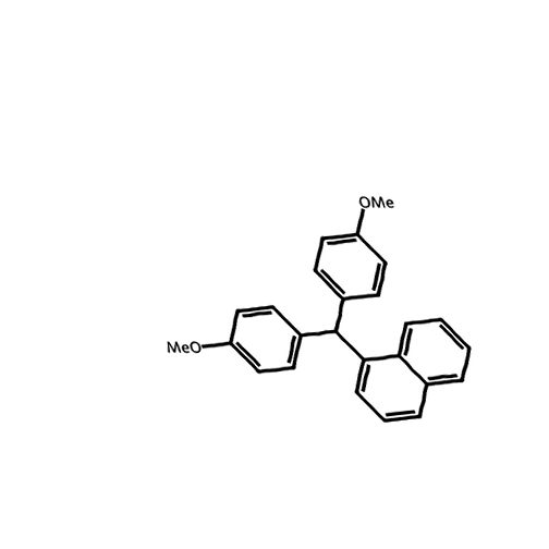 COc1ccc([C](c2ccc(OC)cc2)c2cccc3ccccc23)cc1